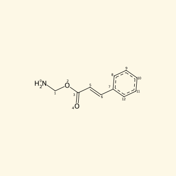 NCOC(=O)C=Cc1ccccc1